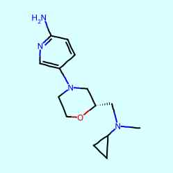 CN(C[C@H]1CN(c2ccc(N)nc2)CCO1)C1CC1